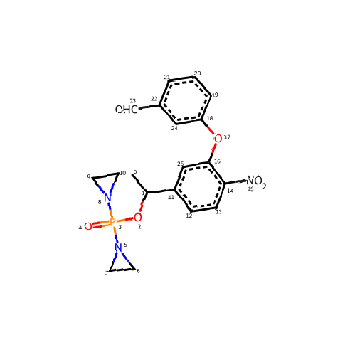 CC(OP(=O)(N1CC1)N1CC1)c1ccc([N+](=O)[O-])c(Oc2cccc(C=O)c2)c1